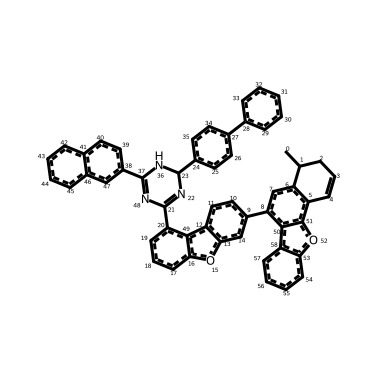 CC1CC=Cc2c1cc(-c1ccc3c(c1)oc1cccc(C4=NC(c5ccc(-c6ccccc6)cc5)NC(c5ccc6ccccc6c5)=N4)c13)c1c2oc2ccccc21